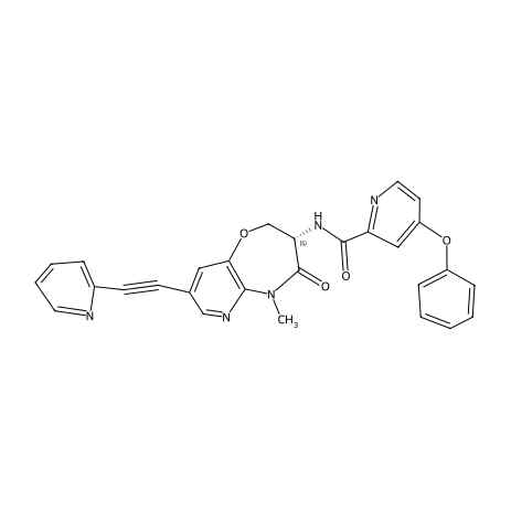 CN1C(=O)[C@@H](NC(=O)c2cc(Oc3ccccc3)ccn2)COc2cc(C#Cc3ccccn3)cnc21